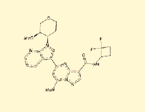 CNc1cc(-c2cn([C@@H]3CCOC[C@@H]3OC)c3ncccc23)nc2c(C(=O)NC3CCC3(F)F)cnn12